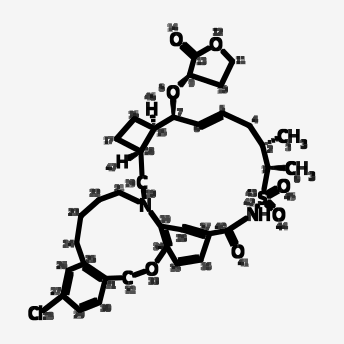 C[C@@H]1[C@@H](C)C/C=C/[C@H](O[C@@H]2CCOC2=O)[C@@H]2CC[C@H]2CN2CCCCc3cc(Cl)ccc3COc3ccc(cc32)C(=O)NS1(=O)=O